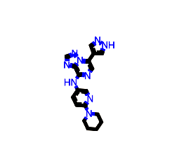 c1nc2c(Nc3ccc(N4CCCCC4)nc3)ncc(-c3cn[nH]c3)n2n1